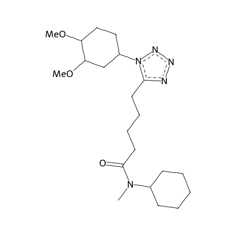 COC1CCC(n2nnnc2CCCCC(=O)N(C)C2CCCCC2)CC1OC